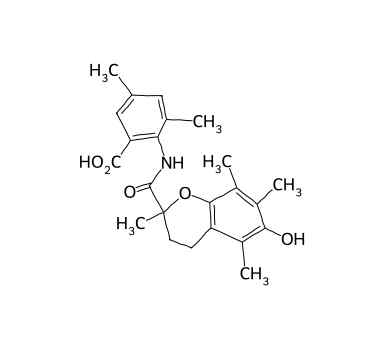 Cc1cc(C)c(NC(=O)C2(C)CCc3c(C)c(O)c(C)c(C)c3O2)c(C(=O)O)c1